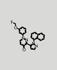 O=c1ccn(-c2cccc(OCF)c2)nc1-c1ccnn1-c1cccc2ccccc12